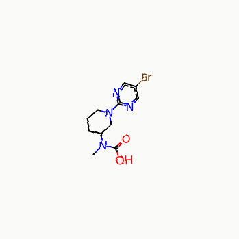 CN(C(=O)O)C1CCCN(c2ncc(Br)cn2)C1